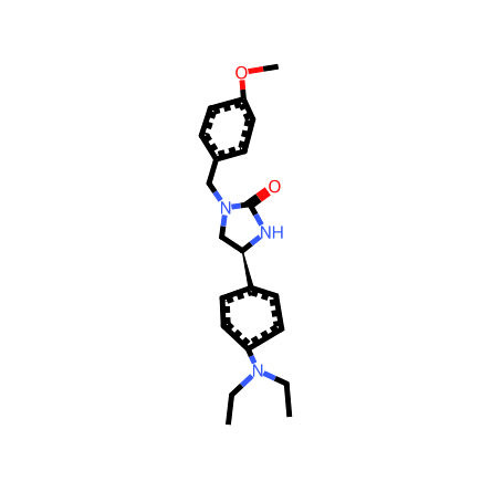 CCN(CC)c1ccc([C@H]2CN(Cc3ccc(OC)cc3)C(=O)N2)cc1